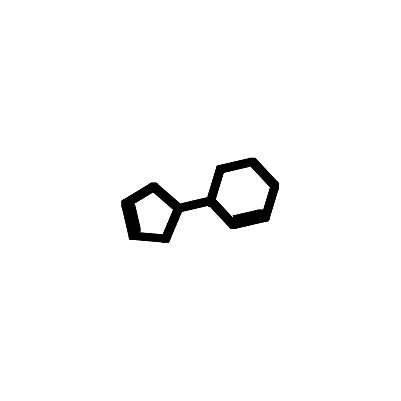 C1=C[C](C2CC=CC2)CCC1